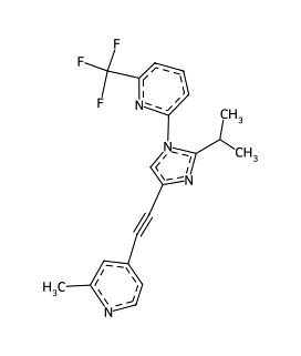 Cc1cc(C#Cc2cn(-c3cccc(C(F)(F)F)n3)c(C(C)C)n2)ccn1